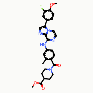 COC(=O)C1CCN(C(=O)c2ccc(Nc3nccn4c(-c5ccc(OC)c(F)c5)cnc34)cc2C)CC1